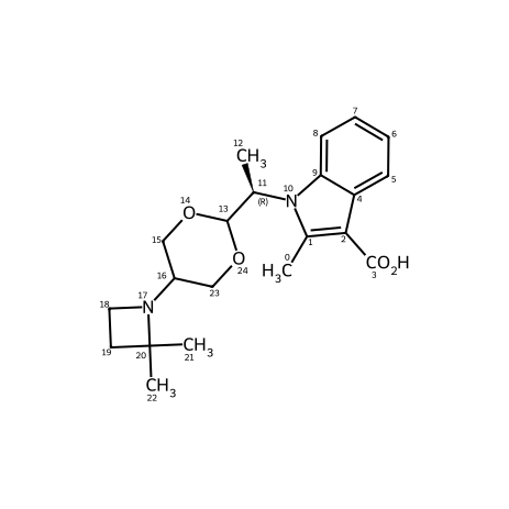 Cc1c(C(=O)O)c2ccccc2n1[C@H](C)C1OCC(N2CCC2(C)C)CO1